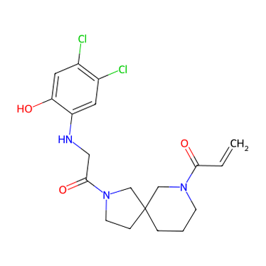 C=CC(=O)N1CCCC2(CCN(C(=O)CNc3cc(Cl)c(Cl)cc3O)C2)C1